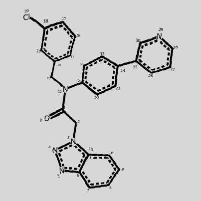 O=C(Cn1nnc2ccccc21)N(Cc1cccc(Cl)c1)c1ccc(-c2cccnc2)cc1